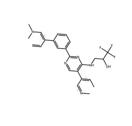 C=C/C(=C\N(C)C)c1cccc(-c2ncc(C(/C=N\C)=C/C)c(NCC(O)C(F)(F)F)n2)c1